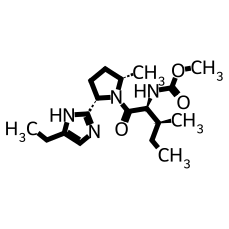 CCc1cnc([C@@H]2CC[C@H](C)N2C(=O)[C@@H](NC(=O)OC)[C@@H](C)CC)[nH]1